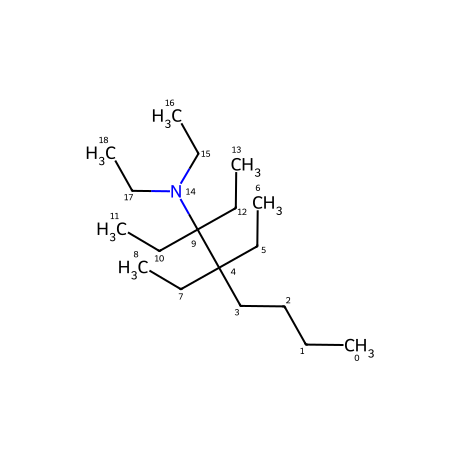 CCCCC(CC)(CC)C(CC)(CC)N(CC)CC